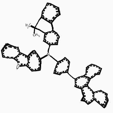 CC1(C)c2ccccc2-c2ccc(N(c3ccc(-c4cc5ccc6ccccc6c5c5ccccc45)cc3)c3ccc4oc5ccccc5c4c3)cc21